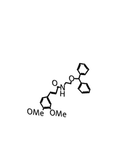 COc1ccc(C=CC(=O)NCCOC(c2ccccc2)c2ccccc2)cc1OC